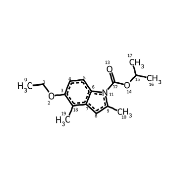 CCOc1ccc2c(cc(C)n2C(=O)OC(C)C)c1C